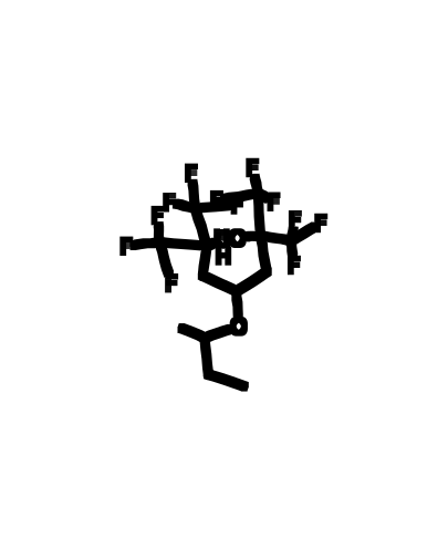 CCC(C)OC(CC(O)(C(F)(F)F)C(F)(F)F)CC(O)(C(F)(F)F)C(F)(F)F